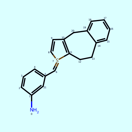 Nc1cccc(C=S2C=CC3=C2CCc2ccccc2C3)c1